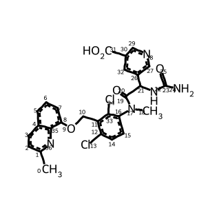 Cc1ccc2cccc(OCc3c(Cl)ccc(N(C)C(=O)C(NC(N)=O)c4cncc(C(=O)O)c4)c3Cl)c2n1